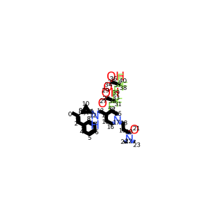 CC(=Cc1ccccc1)[C@@H]1C[C@H]1NCC1CCN(CCC(=O)N(C)C)CC1.O=C(O)C(F)(F)F.O=C(O)C(F)(F)F